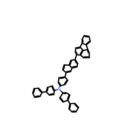 c1ccc(-c2ccc(N(c3ccc(-c4ccccc4)cc3)c3ccc(-c4ccc5cc(-c6ccc7c8c(cccc68)-c6ccccc6-7)ccc5c4)cc3)cc2)cc1